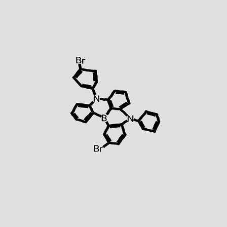 Brc1ccc(N2c3ccccc3B3c4cc(Br)ccc4N(c4ccccc4)c4cccc2c43)cc1